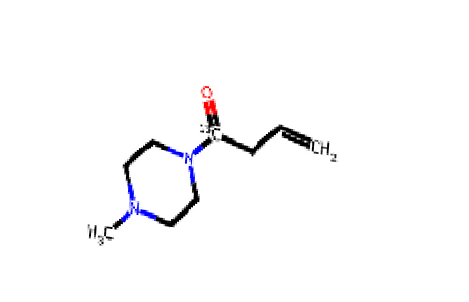 C=C[CH][13C](=O)N1CCN(C)CC1